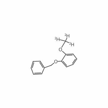 [2H]C([2H])([2H])Oc1ccccc1OCc1ccccc1